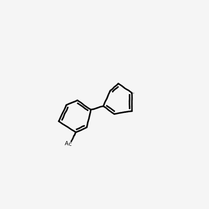 CC(=O)c1cccc(-c2cc[c]cc2)c1